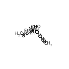 C=CC(=O)N1CC(Nc2nc(Nc3ccc(N4CCC(N5CCN(C)CC5)CC4)cc3)c(C=O)nc2CC)C1